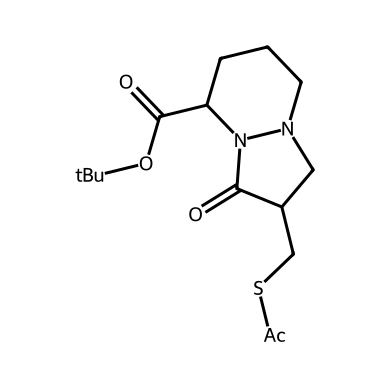 CC(=O)SCC1CN2CCCC(C(=O)OC(C)(C)C)N2C1=O